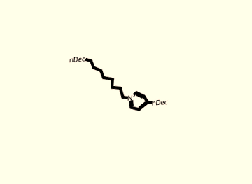 CCCCCCCCCCCCCCCCCC[n+]1ccc(CCCCCCCCCC)cc1